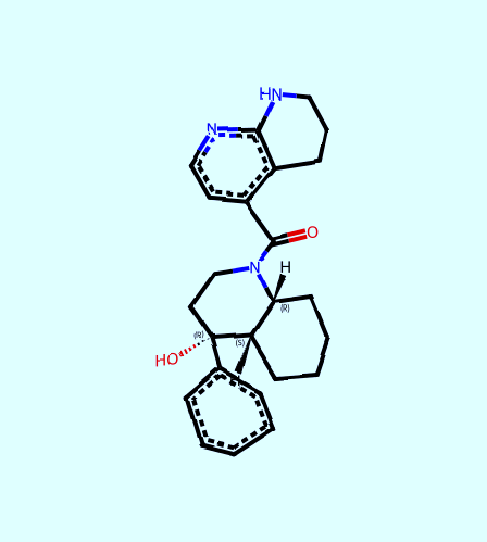 O=C(c1ccnc2c1CCCN2)N1CC[C@](O)(c2ccccc2)[C@H]2CCCC[C@H]21